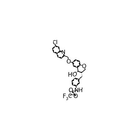 O=S(=O)(Nc1cccc(C[C@H]2COc3ccc(OCc4ccc5ccc(Cl)cc5n4)cc3[C@H]2O)c1)C(F)(F)F